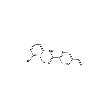 C=Cc1ccc(C(=O)Nc2cccc(Br)c2C#N)nc1